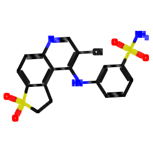 N#Cc1cnc2ccc3c(c2c1Nc1cccc(S(N)(=O)=O)c1)CCS3(=O)=O